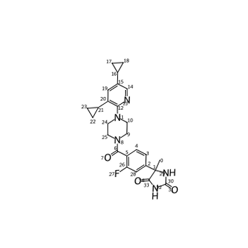 CC1(c2ccc(C(=O)N3CCN(c4ncc(C5CC5)cc4C4CC4)CC3)c(F)c2)NC(=O)NC1=O